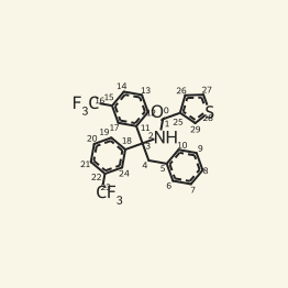 O=C(NC(Cc1ccccc1)(c1cccc(C(F)(F)F)c1)c1cccc(C(F)(F)F)c1)c1ccsc1